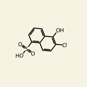 O=S(=O)(O)c1cccc2c(O)c(Cl)ccc12